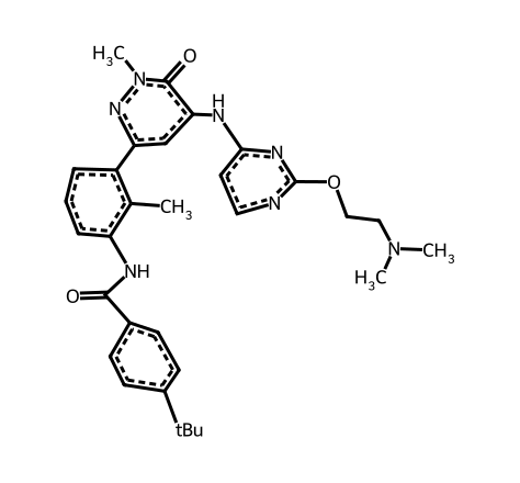 Cc1c(NC(=O)c2ccc(C(C)(C)C)cc2)cccc1-c1cc(Nc2ccnc(OCCN(C)C)n2)c(=O)n(C)n1